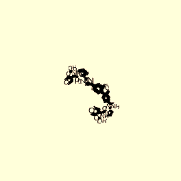 O=C(O)NC(C(=O)N1CCC[C@H]1c1nc(-c2ccc3c(c2)COCc2cc(-c4c[nH]c([C@@H]5CCCN5C(=O)C(NC(=O)O)C5CCOCC5)n4)ccc2-3)c[nH]1)C1CCOCC1